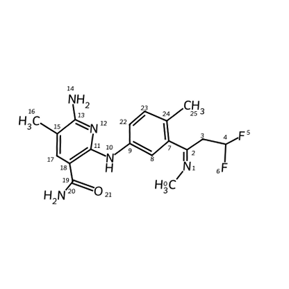 C/N=C(/CC(F)F)c1cc(Nc2nc(N)c(C)cc2C(N)=O)ccc1C